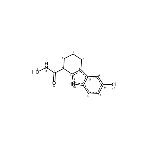 O=C(NO)C1CCCc2c1[nH]c1ccc(Cl)cc21